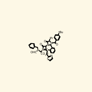 CC(C)C1C(=O)N(C2C(=O)N(C(C(=O)O)N(C=O)Cc3ccccc3)C2CCc2nccs2)C(c2ccccc2C#N)N1C(=O)c1ccc(C(C)(C)C)cc1